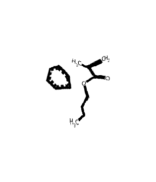 C=C(C)C(=O)OCCCC.c1ccccc1